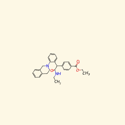 CCNC(=O)C(c1ccc(C(=O)OCC)cc1)c1ccccc1N1CCc2ccccc2C1